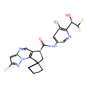 O=C(Nc1cnc([C@@H](O)C(F)F)c(Cl)c1)[C@H]1CC2(CCC2)c2c1cnc1cc(F)nn21